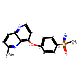 COc1ccc2nccc(Oc3ccc(S(C)(=N)=O)cc3)c2n1